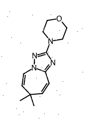 CC1(C)C=Cc2nc(N3CCOCC3)nn2C=C1